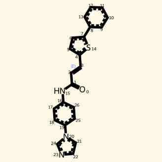 O=C(/C=C/c1ccc(-c2ccccc2)s1)Nc1ccc(-n2ccnc2)cc1